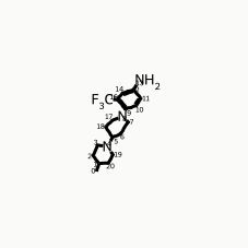 CC1CCN(C2CCN(c3ccc(N)cc3C(F)(F)F)CC2)CC1